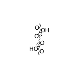 C=CC(=O)C(O)COC(=O)CCC(=O)OCC(O)C(=O)C=C